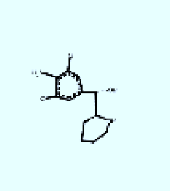 Nc1c(Cl)cc([C@H](O)[C@@H]2CCCCN2)cc1Cl